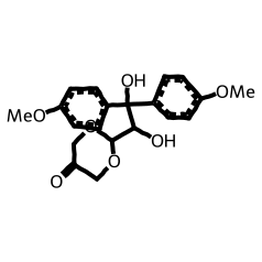 COc1ccc(C(O)(c2ccc(OC)cc2)C(O)C2OCC(=O)CO2)cc1